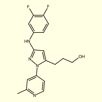 Cc1cc(-n2nc(Nc3ccc(F)c(F)c3)cc2CCCO)ccn1